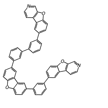 c1cc(-c2cccc(-c3ccc4oc5ccc(-c6cccc(-c7ccc8oc9cnccc9c8c7)c6)cc5c4c3)c2)cc(-c2ccc3oc4cnccc4c3c2)c1